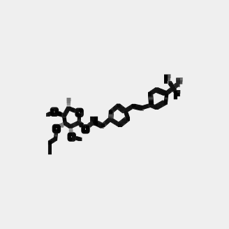 CCCO[C@@H]1[C@@H](OC)[C@H](C)O[C@@H](ON=Cc2ccc(C=Cc3ccc(C(F)(F)F)cc3)cc2)[C@@H]1OC